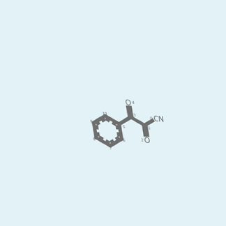 N#CC(=O)C(=O)c1ccccc1